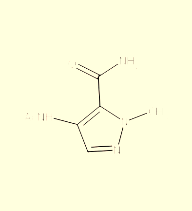 CC(=O)Nc1cnn(C)c1C(N)=O